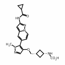 Cn1ncc(OC[C@H]2C[C@@H](NC(=O)O)C2)c1-c1ccn2nc(NC(=O)C3CC3)cc2c1